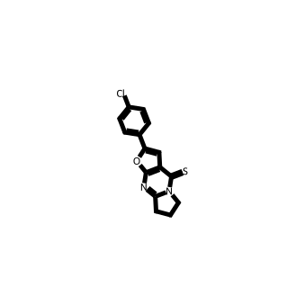 S=c1c2cc(-c3ccc(Cl)cc3)oc2nc2n1CCC2